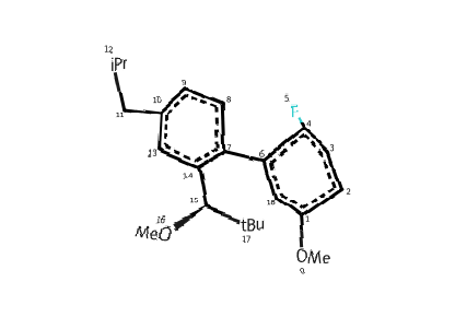 COc1ccc(F)c(-c2ccc(CC(C)C)cc2[C@H](OC)C(C)(C)C)c1